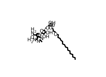 CCCCCCCCCCCCCCCCOCCCOP(=O)(O)COC[C@H]1O[C@@H](n2cc(C(N)=O)c3c(N)nc(C)nc32)[C@H](O)[C@@H]1O